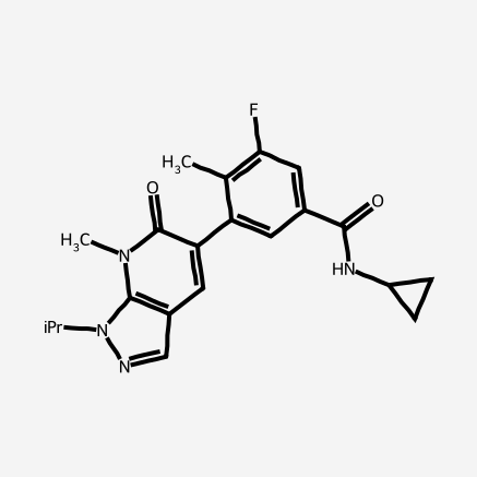 Cc1c(F)cc(C(=O)NC2CC2)cc1-c1cc2cnn(C(C)C)c2n(C)c1=O